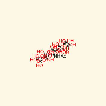 CC(=O)N[C@H]1[C@H](O[C@H]2[C@@H](O)[C@@H](CO)O[C@@H](O[C@H]3[C@H](O)[C@@H](O)[C@H](O)O[C@@H]3CO)[C@@H]2O)O[C@H](CO)[C@@H](O[C@@H]2O[C@H](CO)[C@H](O)[C@H](O[C@H]3O[C@H](CO)[C@H](O)[C@H](O)[C@H]3O)[C@H]2O)[C@@H]1O